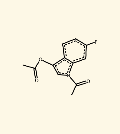 CC(=O)Oc1cn(C(C)=O)c2cc(F)ccc12